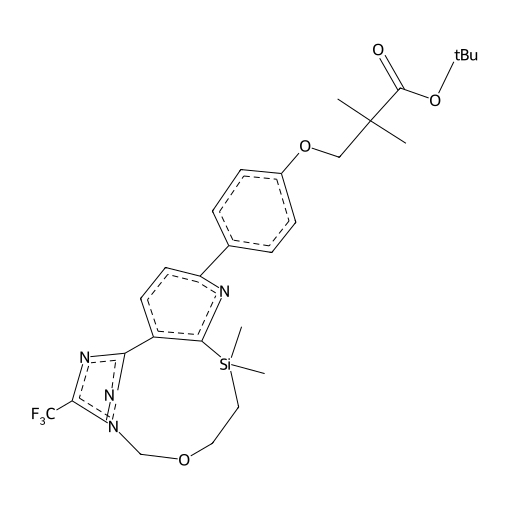 CC(C)(C)OC(=O)C(C)(C)COc1ccc(-c2ccc3c(n2)[Si](C)(C)CCOCn2nc-3nc2C(F)(F)F)cc1